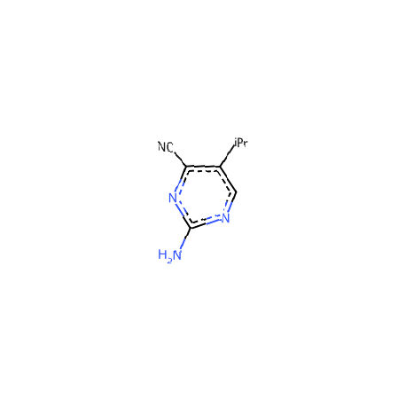 CC(C)c1cnc(N)nc1C#N